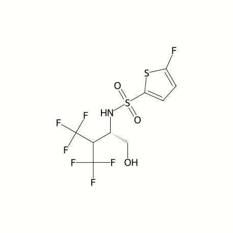 O=S(=O)(N[C@H](CO)C(C(F)(F)F)C(F)(F)F)c1ccc(F)s1